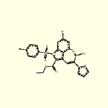 CCOC(=O)c1c(/C=C(\C(=O)O)c2cccs2)c2c(Cl)cc(Cl)cc2n1S(=O)(=O)c1ccc(C)cc1